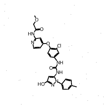 COCC(=O)Nc1cc(Oc2ccc(NC(=O)Nc3cc(O)nn3-c3ccc(C)cc3)cc2Cl)ccn1